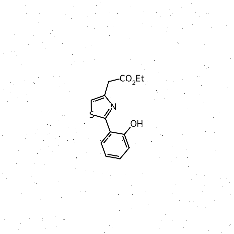 CCOC(=O)Cc1csc(-c2ccccc2O)n1